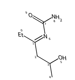 CCC(CC(C)O)=NC(N)=O